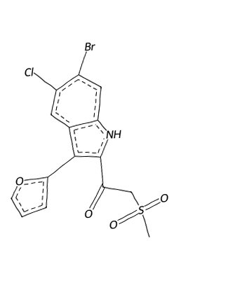 CS(=O)(=O)CC(=O)c1[nH]c2cc(Br)c(Cl)cc2c1-c1ccco1